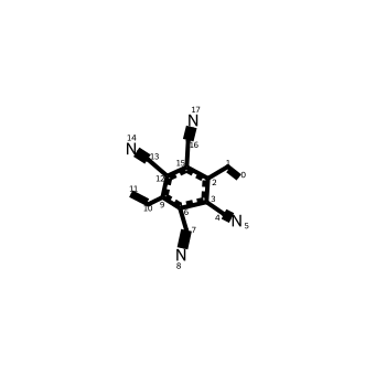 C=Cc1c(C#N)c(C#N)c(C=C)c(C#N)c1C#N